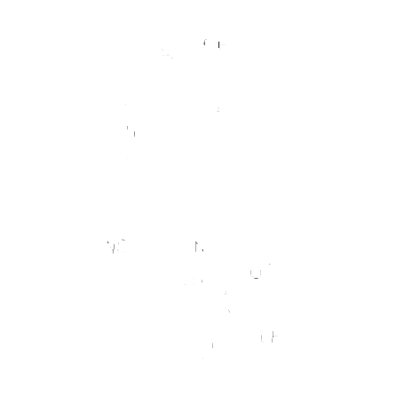 N#C/C(=N\OS(=O)(=O)C(F)(F)F)c1ccc(CO)cc1